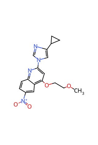 COCCOc1cc(-n2cnc(C3CC3)c2)nc2ccc([N+](=O)[O-])cc12